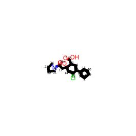 O=C(O)C1C=C(c2ccccc2)C(Cl)=CC1(O)CC(=O)N1CCCC1